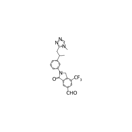 CC(Cc1nncn1C)c1cccc(N2Cc3c(cc(C=O)cc3C(F)(F)F)C2=O)c1